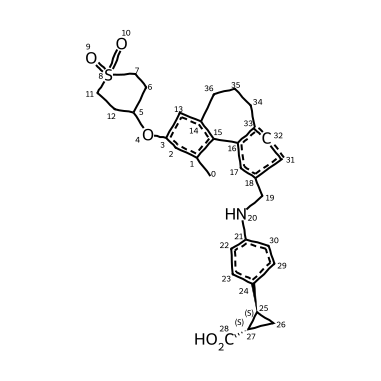 Cc1cc(OC2CCS(=O)(=O)CC2)cc2c1-c1cc(CNc3ccc([C@H]4C[C@@H]4C(=O)O)cc3)ccc1CCC2